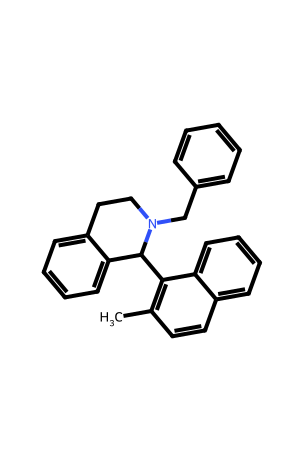 Cc1ccc2ccccc2c1C1c2ccccc2CCN1Cc1ccccc1